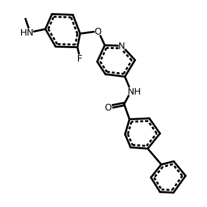 CNc1ccc(Oc2ccc(NC(=O)c3ccc(-c4ccccc4)cc3)cn2)c(F)c1